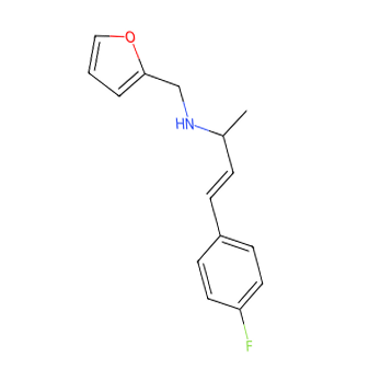 CC(C=Cc1ccc(F)cc1)NCc1ccco1